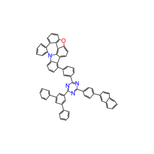 c1ccc(-c2cc(-c3ccccc3)cc(-c3nc(-c4ccc(-c5ccc6ccccc6c5)cc4)nc(-c4cccc(-c5cccc6c5c5ccc7oc8cccc9c%10ccccc%10n6c5c7c89)c4)n3)c2)cc1